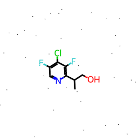 CC(CO)c1ncc(F)c(Cl)c1F